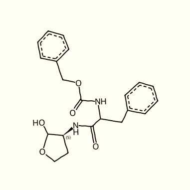 O=C(NC(Cc1ccccc1)C(=O)N[C@H]1CCOC1O)OCc1ccccc1